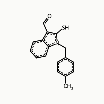 Cc1ccc(Cn2c(S)c(C=O)c3ccccc32)cc1